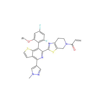 C=CC(=O)N1CCc2nc(-c3nc(-c4cnn(C)c4)c4ccsc4c3-c3c(F)cc(F)cc3OC(C)C)sc2C1